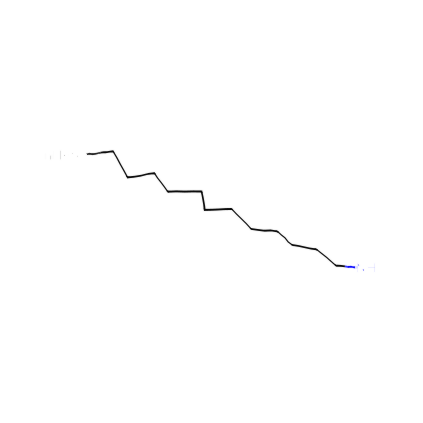 CCCCCCCCCCCCCCCCCCC[NH]